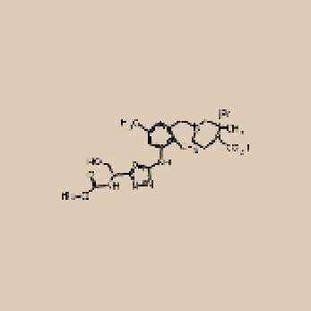 Cc1cc(CN2CCN(C(=O)O)[C@@](C)(C(C)C)C2)c(C)c(Nc2nnc([C@H](CO)NC(=O)OC(C)(C)C)o2)c1